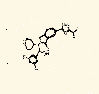 O=C1c2cc(-c3nnc(C(F)F)o3)ccc2CN1[C@H](C1CCOCC1)[C@@H](O)c1cc(F)cc(Cl)c1